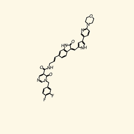 O=C1Nc2cc(/C=C/CNC(=O)c3cncn(Cc4ccc(F)c(F)c4)c3=O)ccc2C1=Cc1cc(-c2ccc(N3CCOCC3)nc2)c[nH]1